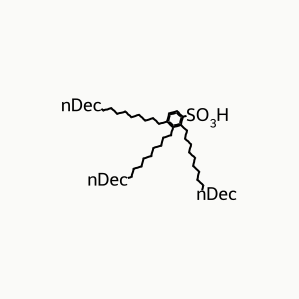 CCCCCCCCCCCCCCCCCCCc1ccc(S(=O)(=O)O)c(CCCCCCCCCCCCCCCCCCC)c1CCCCCCCCCCCCCCCCCCC